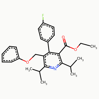 CCOC(=O)c1c(C(C)C)nc(C(C)C)c(COc2ccccc2)c1-c1ccc(F)cc1